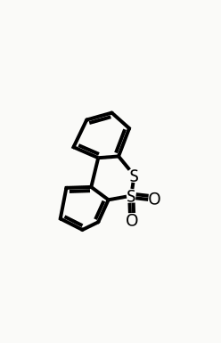 O=S1(=O)Sc2ccccc2-c2ccccc21